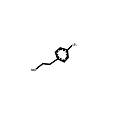 CC(C)(C)CCc1ccc(C(C)(C)C)cc1